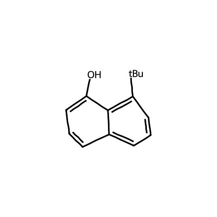 CC(C)(C)c1cccc2cccc(O)c12